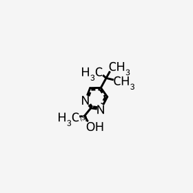 C[C@H](O)c1ncc(C(C)(C)C)cn1